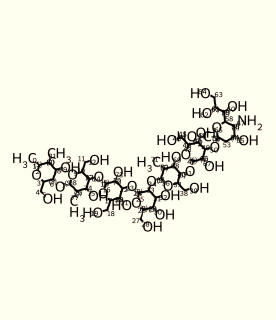 C[C@@H]1OC(CO)[C@@H](O[C@@H]2OC(CO)[C@@H](O[C@@H]3OC(CO)[C@@H](O)C(O[C@H]4O[C@H](CO)[C@@H](O)C(O)C4O[C@@H]4OC(CO)[C@@H](O[C@@H]5OC(CO)[C@H](O)C(O[C@]6(C(=O)O)C[C@@H](O)[C@@H](N)C([C@H](O)[C@H](O)CO)O6)[C@@H]5O)C(O)[C@@H]4C)[C@H]3O)C(O)[C@@H]2C)C(O)[C@@H]1C